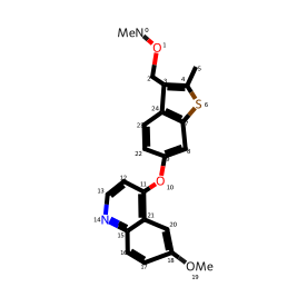 CNOCc1c(C)sc2cc(Oc3ccnc4ccc(OC)cc34)ccc12